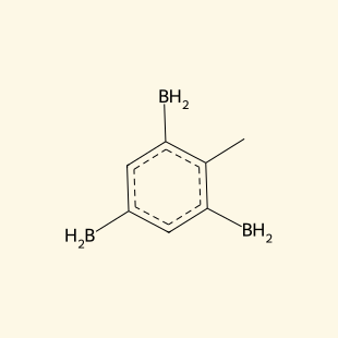 Bc1cc(B)c(C)c(B)c1